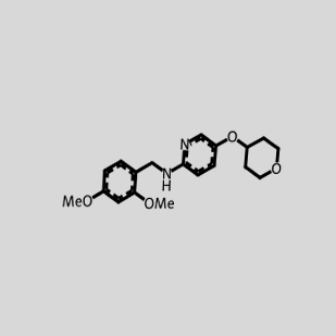 COc1ccc(CNc2ccc(OC3CCOCC3)cn2)c(OC)c1